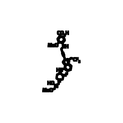 COC[C@H](O)CN1CC[C@@H](Nc2cccc3c2cc(C#CCNc2ccc(C(=O)O)cc2OC)n3CC(F)(F)F)[C@H](F)C1